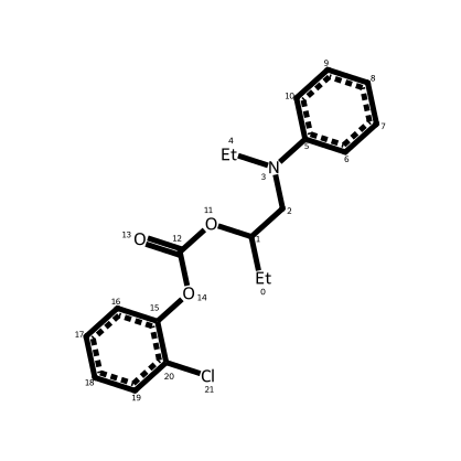 CCC(CN(CC)c1ccccc1)OC(=O)Oc1ccccc1Cl